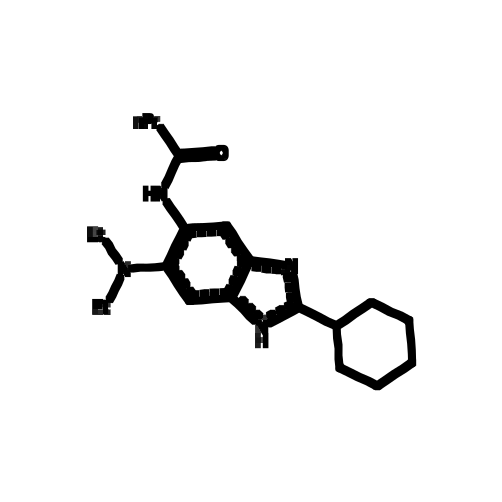 CCCC(=O)Nc1cc2nc(C3CCCCC3)[nH]c2cc1N(CC)CC